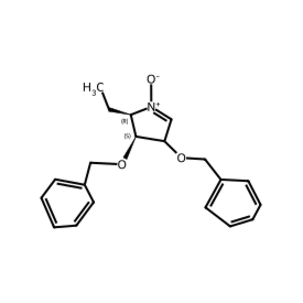 CC[C@@H]1[C@H](OCc2ccccc2)C(OCc2ccccc2)C=[N+]1[O-]